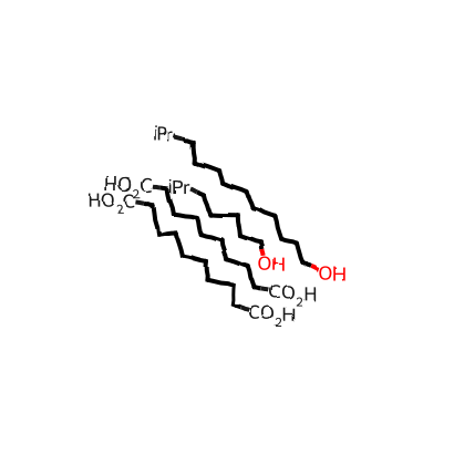 CC(C)CCCCCCCCCCO.CC(C)CCCCCO.O=C(O)CCCCCCCCC(=O)O.O=C(O)CCCCCCCCC(=O)O